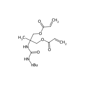 C=CC(=O)OCC(C)(COC(=O)C=C)NC(=O)NCCCC